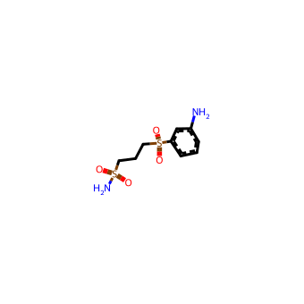 Nc1cccc(S(=O)(=O)CCCS(N)(=O)=O)c1